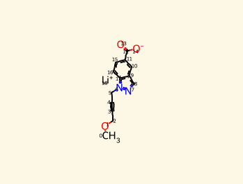 COCC#CCn1ncc2cc(C(=O)[O-])ccc21.[Li+]